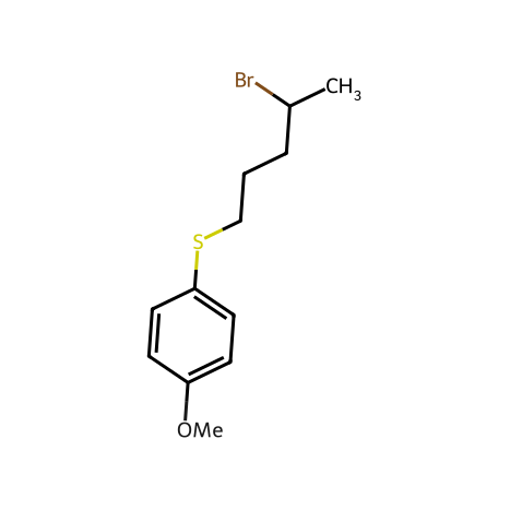 COc1ccc(SCCCC(C)Br)cc1